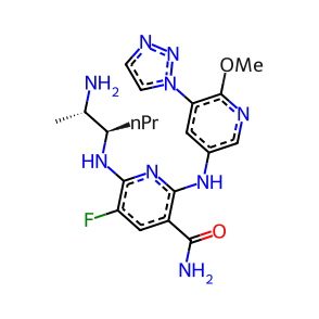 CCC[C@@H](Nc1nc(Nc2cnc(OC)c(-n3ccnn3)c2)c(C(N)=O)cc1F)[C@H](C)N